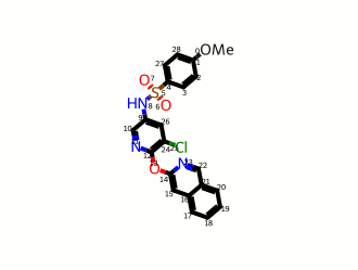 COc1ccc(S(=O)(=O)Nc2cnc(Oc3cc4ccccc4cn3)c(Cl)c2)cc1